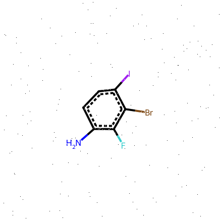 Nc1ccc(I)c(Br)c1F